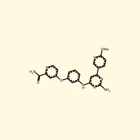 COc1ccc(-c2cc(Nc3cccc(Oc4ccnc(C(N)=O)c4)c3)nc(N)n2)cn1